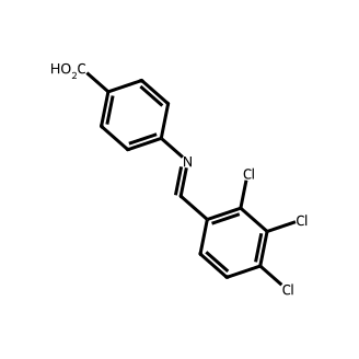 O=C(O)c1ccc(N=Cc2ccc(Cl)c(Cl)c2Cl)cc1